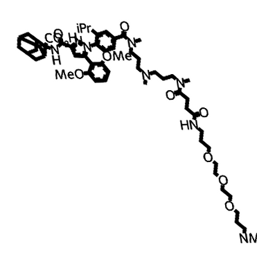 CNCCCOCCOCCOCCCNC(=O)CCC(=O)N(C)CCCN(C)CCCN(C)C(=O)c1ccc(-n2nc(C(=O)NC3(C(=O)O)C4CC5CC(C4)CC3C5)cc2-c2c(OC)cccc2OC)c(C(C)C)c1